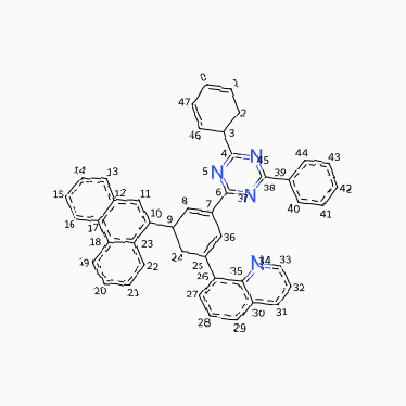 C1=CCC(c2nc(C3=CC(c4cc5ccccc5c5ccccc45)CC(c4cccc5cccnc45)=C3)nc(-c3ccccc3)n2)C=C1